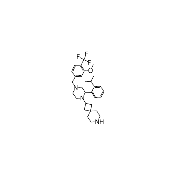 COc1cc(CN2CCN(C3CC4(CCNCC4)C3)[C@H](c3ccccc3C(C)C)C2)ccc1C(F)(F)F